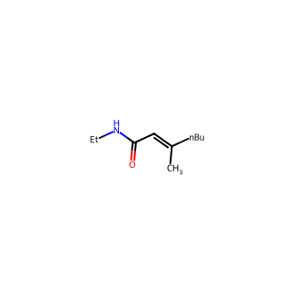 CCCC/C(C)=C/C(=O)NCC